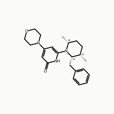 C[C@@H]1CC[C@H](C)[C@H](Cc2ccccc2)N1c1cc(N2CCOCC2)cc(=O)[nH]1